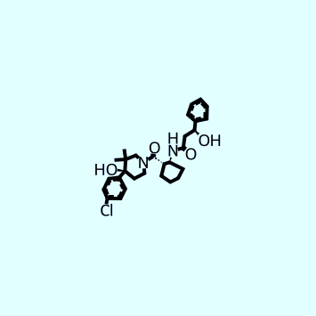 CC1(C)CN(C(=O)[C@H]2CCCC[C@H]2NC(=O)C[C@H](O)c2ccccc2)CC[C@]1(O)c1ccc(Cl)cc1